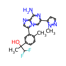 Cc1ccc(C(C)(O)C(F)F)cc1-c1cnc2c(N)nc(-c3ccnn3C)cn12